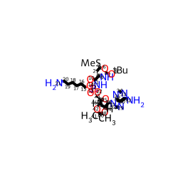 CSCC[C@H](NC(=O)OC(C)(C)C)C(=O)NP(=O)(OCCCCCCN)OC[C@H]1O[C@@H](n2cnc3c(N)ncnc32)[C@@H]2OC(C)(C)O[C@@H]21